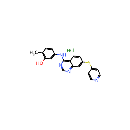 Cc1ccc(Nc2ncnc3cc(Sc4ccncc4)ccc23)cc1O.Cl